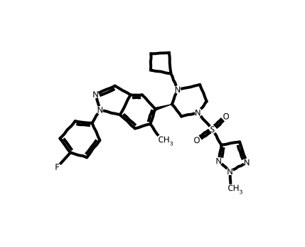 Cc1cc2c(cnn2-c2ccc(F)cc2)cc1[C@@H]1CN(S(=O)(=O)c2cnn(C)n2)CCN1C1CCC1